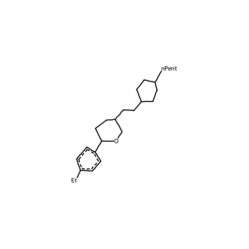 CCCCCC1CCC(CCC2CCC(c3ccc(CC)cc3)OC2)CC1